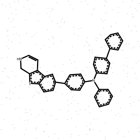 C1=Cc2c(sc3ccc(-c4ccc(N(c5ccccc5)c5ccc(-c6ccccc6)cc5)cc4)cc23)CN1